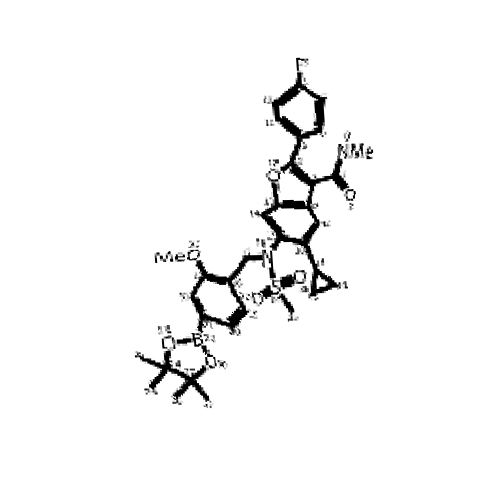 CNC(=O)c1c(-c2ccc(F)cc2)oc2cc(N(Cc3ccc(B4OC(C)(C)C(C)(C)O4)cc3OC)S(C)(=O)=O)c(C3CC3)cc12